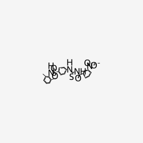 Cc1cccc(C)c1NS(=O)(=O)c1ccc(NC(=S)NC(=O)c2cccc([N+](=O)[O-])c2)cc1